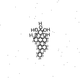 Bc1c(O)c(O)c(O)c(O)c1-c1c2ccccc2c(-c2ccc(-c3ccccc3)c3ccccc23)c2ccccc12